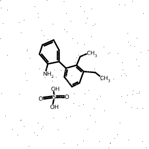 CCc1cccc(-c2ccccc2N)c1CC.O=S(=O)(O)O